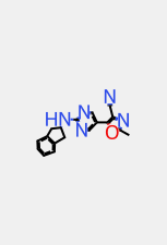 Cc1nc(C#N)c(-c2cnc(NC3Cc4ccccc4C3)nc2)o1